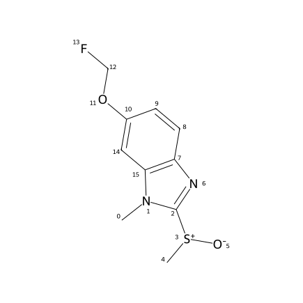 Cn1c([S+](C)[O-])nc2ccc(OCF)cc21